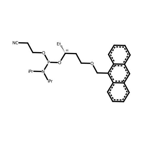 CC[C@H](CCOCc1c2ccccc2cc2ccccc12)OP(OCCC#N)N(C(C)C)C(C)C